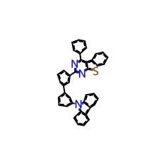 c1ccc(-c2nc(-c3cccc(-c4cccc(-n5c6ccccc6c6ccccc65)c4)c3)nc3sc4ccccc4c23)cc1